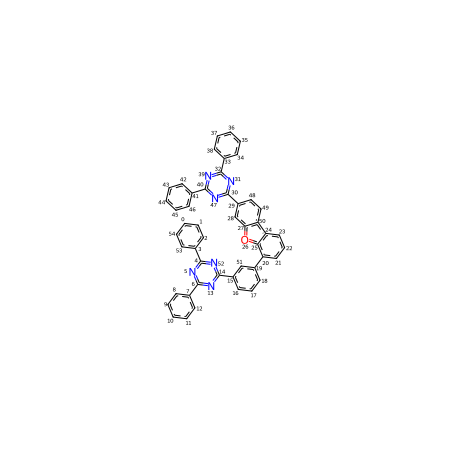 c1ccc(-c2nc(-c3ccccc3)nc(-c3cccc(-c4cccc5c4oc4cc(-c6nc(-c7ccccc7)nc(-c7ccccc7)n6)ccc45)c3)n2)cc1